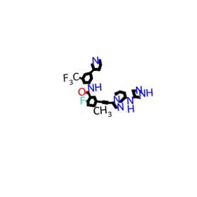 Cc1cc(F)c(C(=O)Nc2cc(-c3cccnc3)cc(C(F)(F)F)c2)cc1C#Cc1cnc2c(Nc3cn[nH]c3)cccn12